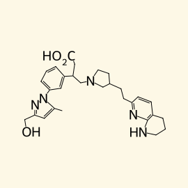 Cc1cc(CO)nn1-c1cccc(C(CC(=O)O)CN2CCC(CCc3ccc4c(n3)NCCC4)C2)c1